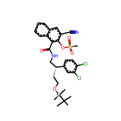 CC(C)(C)[Si](C)(C)OCC[C@H](CNC(=O)c1c(OS(C)(=O)=O)c(C#N)cc2ccccc12)c1ccc(Cl)c(Cl)c1